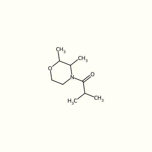 CC(C)C(=O)N1CCOC(C)C1C